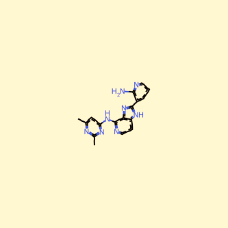 Cc1cc(Nc2nccc3[nH]c(-c4cccnc4N)nc23)nc(C)n1